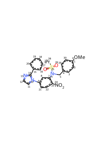 COc1ccc(CN(c2cc(-n3ccnc3-c3ccccc3)ccc2[N+](=O)[O-])S(=O)(=O)C(C)C)cc1